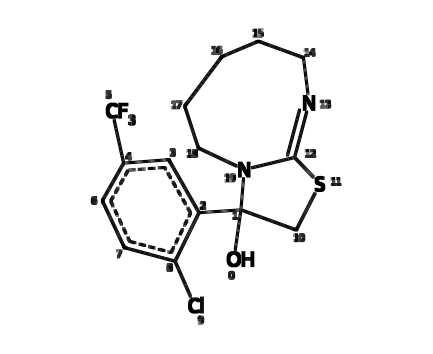 OC1(c2cc(C(F)(F)F)ccc2Cl)CSC2=NCCCCCN21